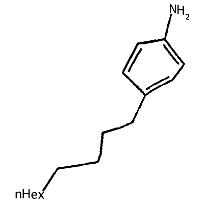 CCCCCCCCCCc1ccc(N)cc1